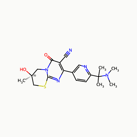 CN(C)C(C)(C)c1ccc(-c2nc3n(c(=O)c2C#N)C[C@](C)(O)CS3)cn1